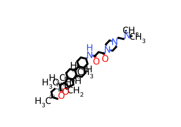 C=C[C@]12C(C[C@H]3[C@@H]4CC[C@@H]5CC(NC(=O)CC(=O)N6CCN(CCN(C)C)CC6)CC[C@]5(C)[C@H]4CC[C@@]31C)O[C@]1(CC[C@H](C)CO1)[C@H]2C